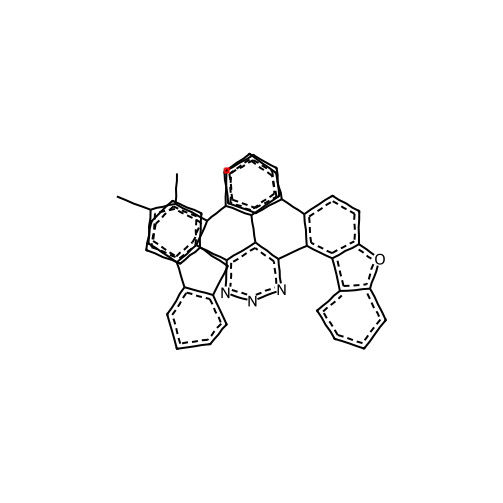 Cc1cc2c(c(-c3ccccc3-c3c(-c4ccccc4)nnnc3-c3c(-c4ccccc4)ccc4oc5ccccc5c34)c1C)Cc1ccccc1-2